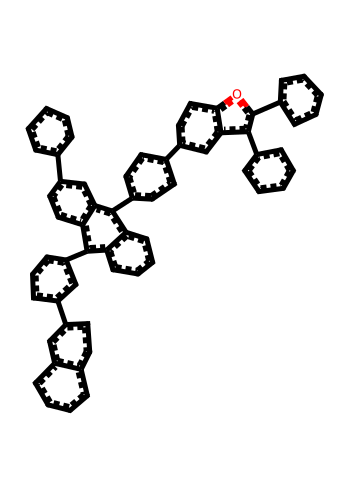 c1ccc(-c2ccc3c(-c4cccc(-c5ccc6ccccc6c5)c4)c4ccccc4c(-c4ccc(-c5ccc6oc(-c7ccccc7)c(-c7ccccc7)c6c5)cc4)c3c2)cc1